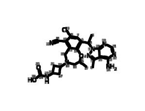 Cc1nn(C(C)c2cc(Cl)c(C#N)c3c2OC(C)CN(C2CC(NC(=O)O)C2)C3)c2ncnc(N)c12